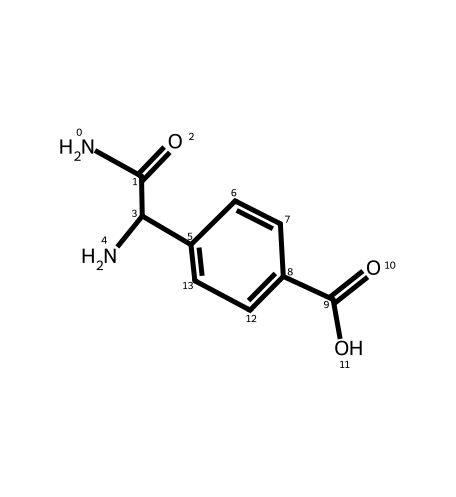 NC(=O)C(N)c1ccc(C(=O)O)cc1